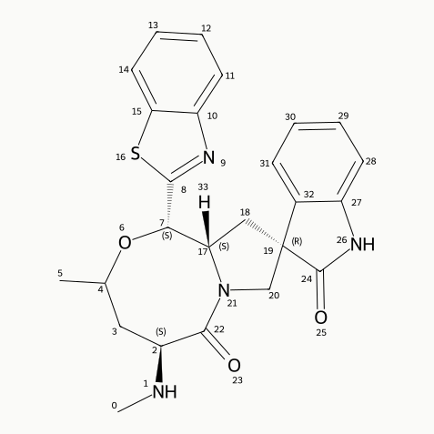 CN[C@H]1CC(C)O[C@H](c2nc3ccccc3s2)[C@@H]2C[C@@]3(CN2C1=O)C(=O)Nc1ccccc13